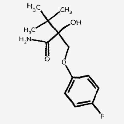 CC(C)(C)C(O)(COc1ccc(F)cc1)C(N)=O